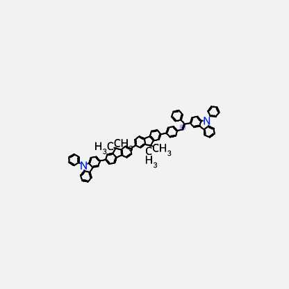 CC1(C)c2cc(-c3ccc(/C=C(\c4ccccc4)c4ccc5c(c4)c4ccccc4n5-c4ccccc4)cc3)ccc2-c2ccc(-c3ccc4c(c3)C(C)(C)c3cc(-c5ccc6c(c5)c5ccccc5n6-c5ccccc5)ccc3-4)cc21